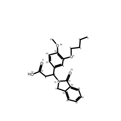 CCCCOc1cc(C(CC(=O)O)N2Cc3ccccc3C2=O)ccc1OC